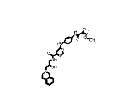 CO/N=C(/C)C(=O)NC1CCC(Nc2cc(C(=O)NCC(O)CN3CCc4ccccc4C3)ncn2)CC1